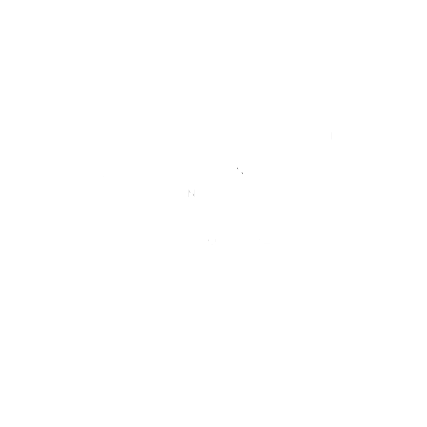 CC=CN1C=CN(CCC)C1.CS(=O)(=O)O